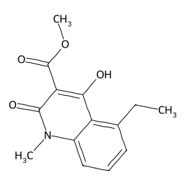 CCc1cccc2c1c(O)c(C(=O)OC)c(=O)n2C